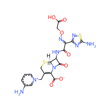 Nc1ccc[n+](CC2=C(C(=O)[O-])N3C(=O)C(NC(=O)C(=NOCC(=O)O)c4nsc(N)n4)[C@@H]3SC2)c1